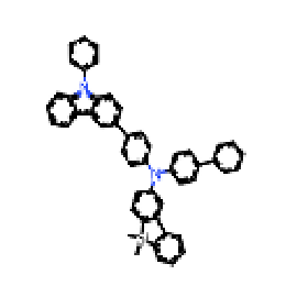 C[Si]1(C)c2ccccc2-c2cc(N(c3ccc(-c4ccccc4)cc3)c3ccc(-c4ccc5c(c4)c4ccccc4n5-c4ccccc4)cc3)ccc21